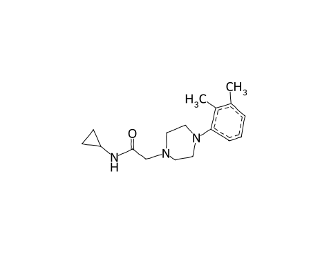 Cc1cccc(N2CCN(CC(=O)NC3CC3)CC2)c1C